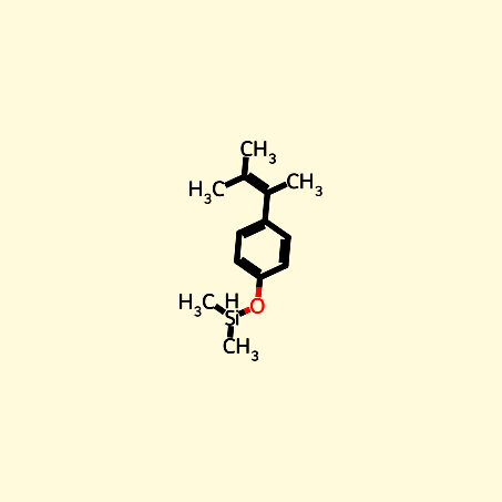 CC(C)=C(C)c1ccc(O[SiH](C)C)cc1